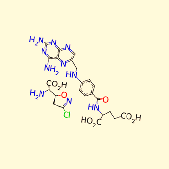 N[C@H](C(=O)O)[C@@H]1CC(Cl)=NO1.Nc1nc(N)c2nc(CNc3ccc(C(=O)NC(CCC(=O)O)C(=O)O)cc3)cnc2n1